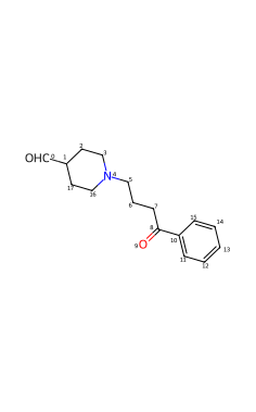 O=CC1CCN(CCCC(=O)c2ccccc2)CC1